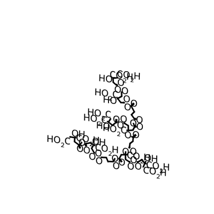 O=C(O)CC(O)(CC(=O)OC(=O)CC(O)(CC(=O)OC(=O)CCC(=O)OC(=O)CC(CC(=O)OC(=O)CC(O)(CC(=O)O)C(=O)O)(OC(=O)CCC(=O)OC(CC(=O)OC(=O)CCC(=O)OC(=O)CC(O)(CC(=O)OC(=O)CC(O)(CC(=O)O)C(=O)O)C(=O)O)(CC(=O)OC(=O)CC(O)(CC(=O)O)C(=O)O)C(=O)O)C(=O)O)C(=O)O)C(=O)O